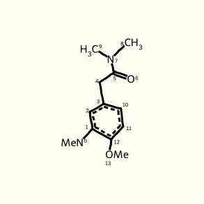 CNc1cc(CC(=O)N(C)C)ccc1OC